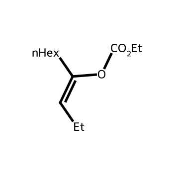 CCC=C(CCCCCC)OC(=O)OCC